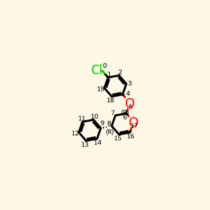 Clc1ccc(O[C@@H]2C[C@@H](c3ccccc3)C=CO2)cc1